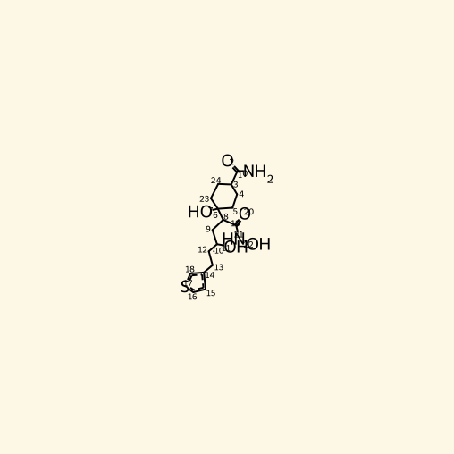 NC(=O)C1CCC(O)(C(CC(O)[CH]Cc2ccsc2)C(=O)NO)CC1